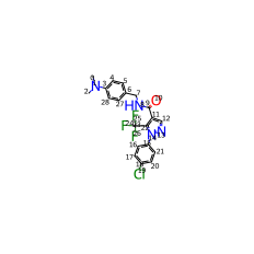 CN(C)c1ccc(CNC(=O)c2cnn(-c3ccc(Cl)cc3)c2C(F)(F)F)cc1